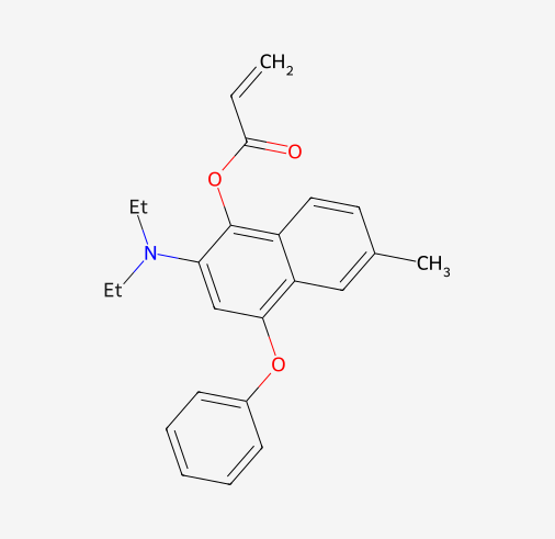 C=CC(=O)Oc1c(N(CC)CC)cc(Oc2ccccc2)c2cc(C)ccc12